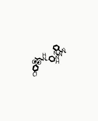 CC(CCNC[C@H]1CC[C@@H](Nc2nc(N(C)C)c3ccccc3n2)CC1)S(=O)(=O)c1ccc(Cl)cc1